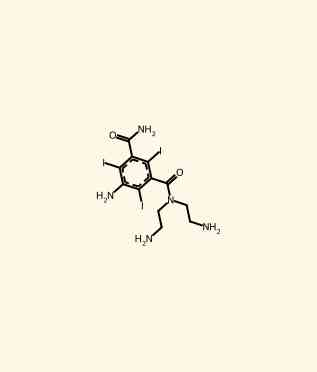 NCCN(CCN)C(=O)c1c(I)c(N)c(I)c(C(N)=O)c1I